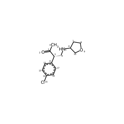 CC(=O)[C@H](CNC1CCOC1)c1ccc(Cl)cc1